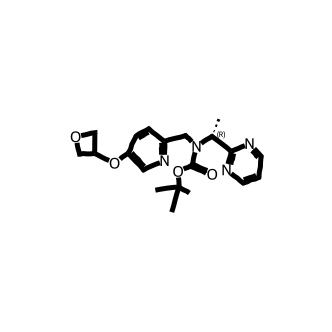 C[C@H](c1ncccn1)N(Cc1ccc(OC2COC2)cn1)C(=O)OC(C)(C)C